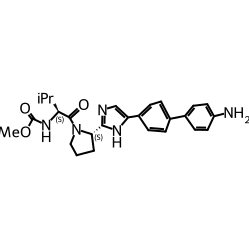 COC(=O)N[C@H](C(=O)N1CCC[C@H]1c1ncc(-c2ccc(-c3ccc(N)cc3)cc2)[nH]1)C(C)C